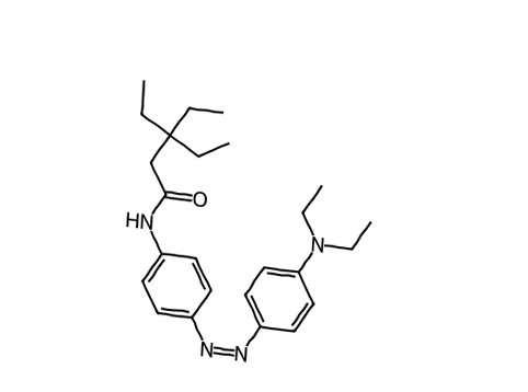 CCN(CC)c1ccc(/N=N\c2ccc(NC(=O)CC(CC)(CC)CC)cc2)cc1